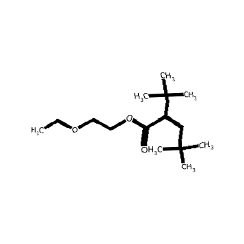 CCOCCOC(=O)C(CC(C)(C)C)C(C)(C)C